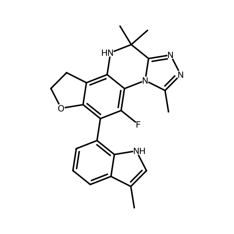 Cc1c[nH]c2c(-c3c(F)c4c(c5c3OCC5)NC(C)(C)c3nnc(C)n3-4)cccc12